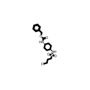 O=C(N[C@H]1CC[C@H](NS(=O)(=O)CCCCl)CC1)OCc1ccccc1